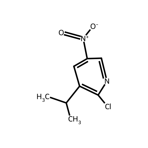 CC(C)c1cc([N+](=O)[O-])cnc1Cl